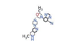 C[C@@H]1Cc2cc(N3CCN(C[C@H]4CN(c5ccc(C#N)c6nccnc56)C[C@@H](C)O4)CC3)ncc2CN1